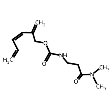 C=C/C=C\C(=C)COC(=O)NCCC(=O)N(C)C